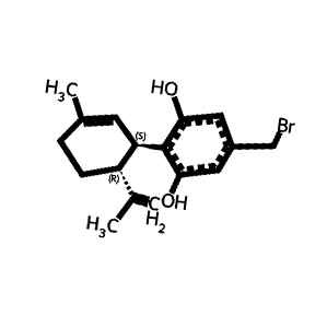 C=C(C)[C@@H]1CCC(C)=C[C@H]1c1c(O)cc(CBr)cc1O